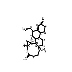 C[C@@]12CCCC(=O)O[C@@H]3C[C@@H]3C1C1CC(CO)C3=CC(=O)CCC3C1CC2